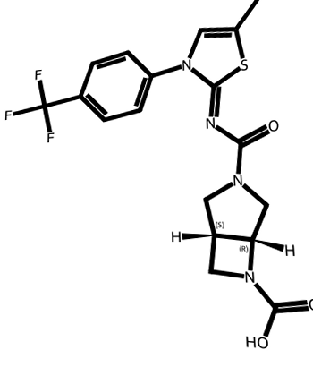 Cc1cn(-c2ccc(C(F)(F)F)cc2)c(=NC(=O)N2C[C@H]3CN(C(=O)O)[C@H]3C2)s1